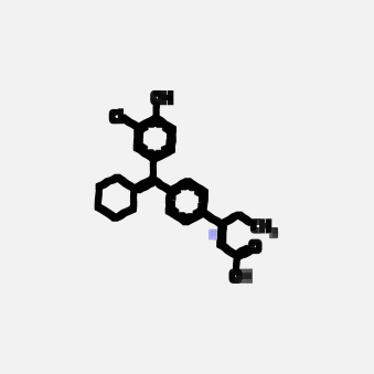 CC/C(=C\C(=O)O)c1ccc(C(=C2CCCCC2)c2ccc(O)c(Cl)c2)cc1